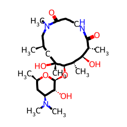 C[C@H]1CN(C)C(=O)CCNC(=O)[C@H](C)[C@@H](O)[C@H](C)[C@@H](O[C@@H]2O[C@H](C)C[C@H](N(C)C)[C@H]2O)[C@](C)(O)C1